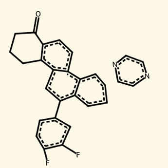 O=C1CCCc2c1ccc1c2cc(-c2ccc(F)c(F)c2)c2ccccc21.c1cnccn1